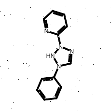 C1=NN(c2ccccn2)NN1c1ccccc1